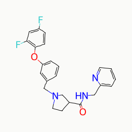 O=C(NCc1ccccn1)C1CCN(Cc2cccc(Oc3ccc(F)cc3F)c2)C1